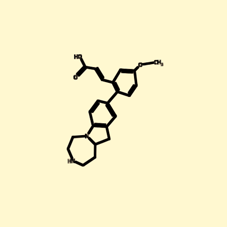 COc1ccc(-c2ccc3c(c2)CC2CCNCCN32)c(C=CC(=O)O)c1